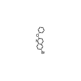 Brc1ccc2nc(Oc3ccccc3)ccc2c1